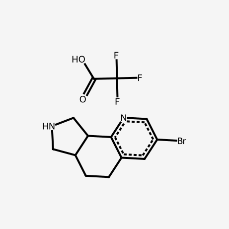 Brc1cnc2c(c1)CCC1CNCC21.O=C(O)C(F)(F)F